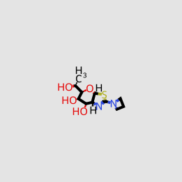 C[C@@H](O)[C@H]1O[C@@H]2SC(N3CCC3)=N[C@@H]2[C@@H](O)[C@@H]1O